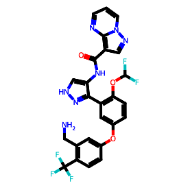 NCc1cc(Oc2ccc(OC(F)F)c(-c3n[nH]cc3NC(=O)c3cnn4cccnc34)c2)ccc1C(F)(F)F